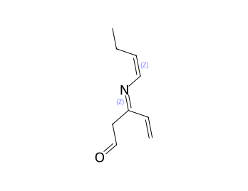 C=C/C(CC=O)=N\C=C/CC